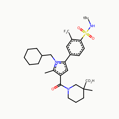 Cc1c(C(=O)N2CCCC(C)(C(=O)O)C2)cc(-c2ccc(S(=O)(=O)NC(C)(C)C)c(C(F)(F)F)c2)n1CC1CCCCC1